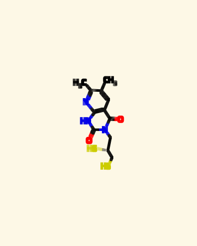 Cc1cc2c(=O)n(C[C@@H](S)CS)c(=O)[nH]c2nc1C